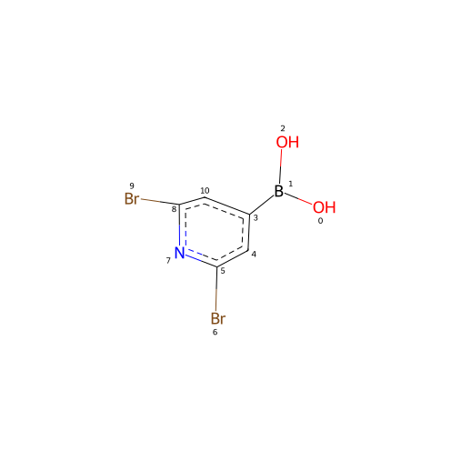 OB(O)c1cc(Br)nc(Br)c1